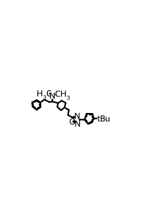 CN(C)C(CCc1ccccc1)C1CCC(CCc2nc(-c3ccc(C(C)(C)C)cc3)no2)CC1